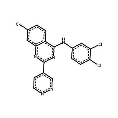 Clc1ccc2c(Nc3ccc(Cl)c(Cl)c3)nc(-c3ccnnc3)nc2c1